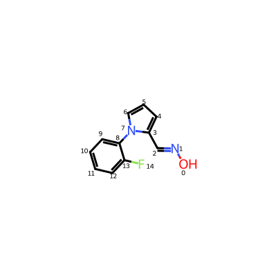 ON=Cc1cccn1-c1ccccc1F